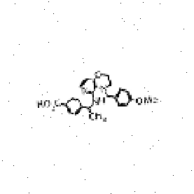 COc1ccc(CN2CCOc3ccnc(NC(C)c4ccc(C(=O)O)cc4)c32)cc1